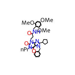 CCCn1c(=O)c2c(nc(C3CCCC3)n2Cc2ccccc2)n(CCC(=O)NCc2c(OC)cc(OC)cc2OC)c1=O